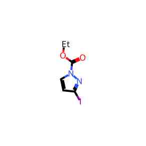 CCOC(=O)n1ccc(I)n1